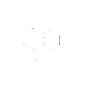 CNc1nc(Cl)ccc1C(C)=N